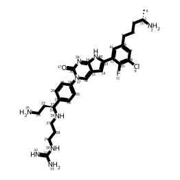 C[C@H](N)CCCc1cc(Cl)c(F)c(-c2cc3cn(-c4ccc([C@H](CCN)NCCCNC(=N)N)cc4)c(=O)nc3[nH]2)c1